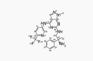 Cn1ncc2c(Nc3ccc(C(F)(F)F)nc3)nc(NCC(C)(N)c3ccccc3)nc21